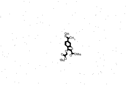 COC(=O)c1sc2cc(/C(C)=N/O)ccc2c1OCC(=O)OC(C)(C)C